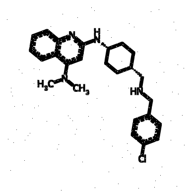 CN(C)c1cc(N[C@H]2CC[C@@H](CNCc3ccc(Cl)cc3)CC2)nc2ccccc12